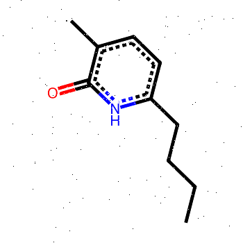 [CH2]c1ccc(CCCC)[nH]c1=O